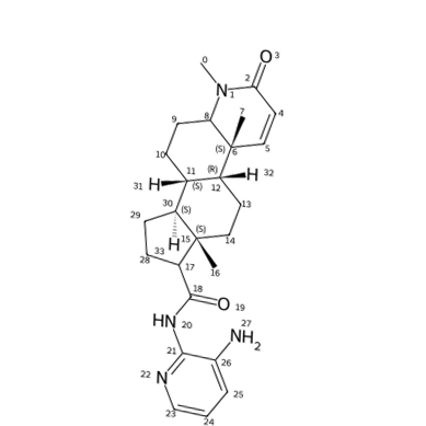 CN1C(=O)C=C[C@@]2(C)C1CC[C@@H]1[C@H]2CC[C@]2(C)C(C(=O)Nc3ncccc3N)CC[C@@H]12